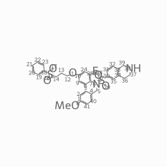 COc1ccc(CN(c2ccc(OCCCS(=O)(=O)c3ccccc3)cc2F)S(=O)(=O)c2ccc3c(c2)CCNC3)cc1